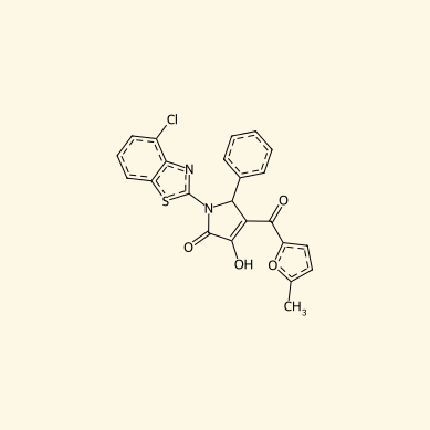 Cc1ccc(C(=O)C2=C(O)C(=O)N(c3nc4c(Cl)cccc4s3)C2c2ccccc2)o1